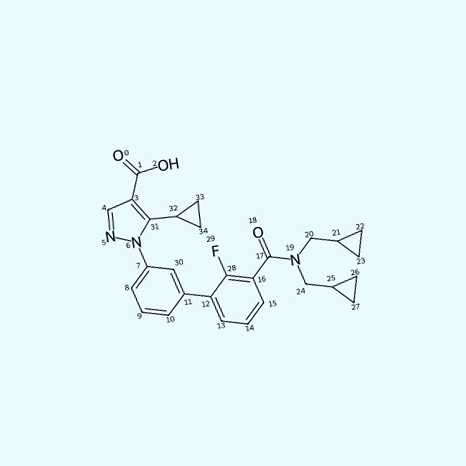 O=C(O)c1cnn(-c2cccc(-c3cccc(C(=O)N(CC4CC4)CC4CC4)c3F)c2)c1C1CC1